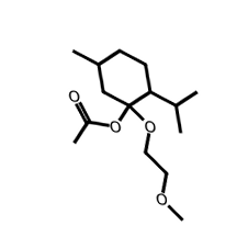 COCCOC1(OC(C)=O)CC(C)CCC1C(C)C